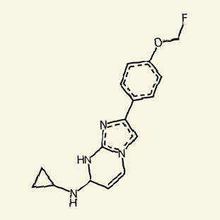 FCOc1ccc(-c2cn3c(n2)NC(NC2CC2)C=C3)cc1